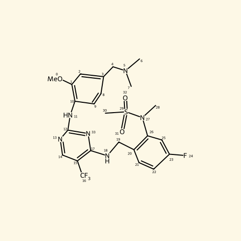 COc1cc(CN(C)C)ccc1Nc1ncc(C(F)(F)F)c(NCc2ccc(F)cc2N(C)S(C)(=O)=O)n1